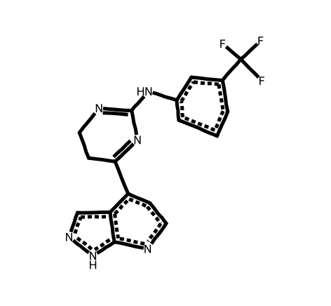 FC(F)(F)c1cccc(NC2=NCCC(c3ccnc4[nH]ncc34)=N2)c1